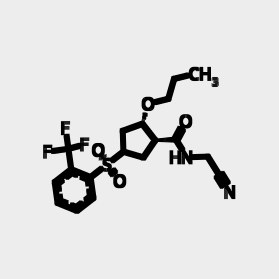 CCCO[C@H]1CC(S(=O)(=O)c2ccccc2C(F)(F)F)C[C@@H]1C(=O)NCC#N